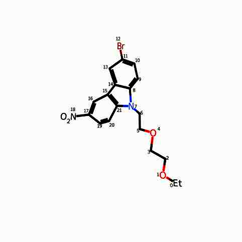 CCOCCOCCn1c2ccc(Br)cc2c2cc([N+](=O)[O-])ccc21